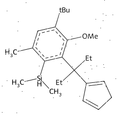 CCC(CC)(C1=CCC=C1)c1c(OC)c(C(C)(C)C)cc(C)c1[SiH](C)C